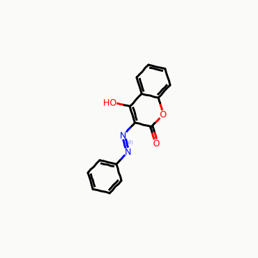 O=c1oc2ccccc2c(O)c1/N=N/c1ccccc1